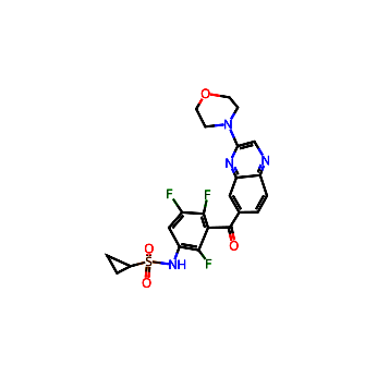 O=C(c1ccc2ncc(N3CCOCC3)nc2c1)c1c(F)c(F)cc(NS(=O)(=O)C2CC2)c1F